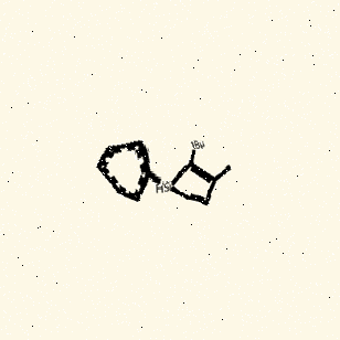 CC1=C(C(C)(C)C)[SiH](c2ccccc2)C=C1